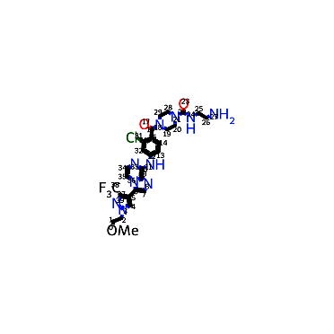 COCCn1cc(-c2cnc3c(Nc4ccc(C(=O)N5CCN(C(=O)NCCN)CC5)c(Cl)c4)nccn23)c(C(F)(F)F)n1